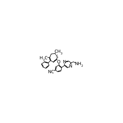 CC1=C(c2ccccc2)C=C(Oc2cc(C#N)ccc2-c2cnc(CN)cn2)S[C@H](C)C1